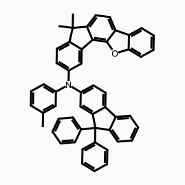 Cc1cccc(N(c2ccc3c(c2)-c2c(ccc4c2oc2ccccc24)C3(C)C)c2ccc3c(c2)C(c2ccccc2)(c2ccccc2)c2ccccc2-3)c1